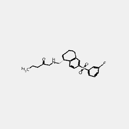 CCCC(=O)CNC[C@@H]1CCCc2cc(S(=O)(=O)c3cccc(F)c3)ccc21